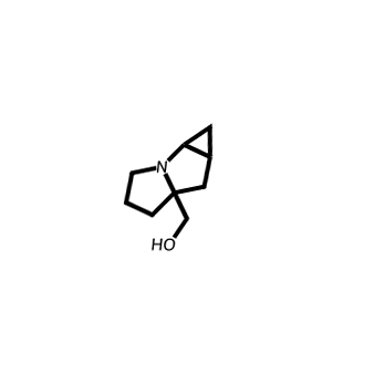 OCC12CCCN1C1CC1C2